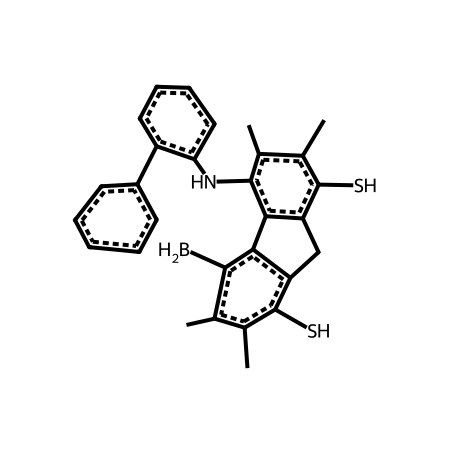 Bc1c(C)c(C)c(S)c2c1-c1c(c(S)c(C)c(C)c1Nc1ccccc1-c1ccccc1)C2